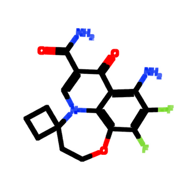 NC(=O)c1cn2c3c(c(F)c(F)c(N)c3c1=O)OCCC21CCC1